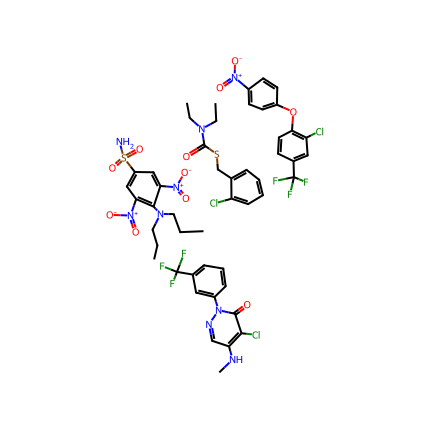 CCCN(CCC)c1c([N+](=O)[O-])cc(S(N)(=O)=O)cc1[N+](=O)[O-].CCN(CC)C(=O)SCc1ccccc1Cl.CNc1cnn(-c2cccc(C(F)(F)F)c2)c(=O)c1Cl.O=[N+]([O-])c1ccc(Oc2ccc(C(F)(F)F)cc2Cl)cc1